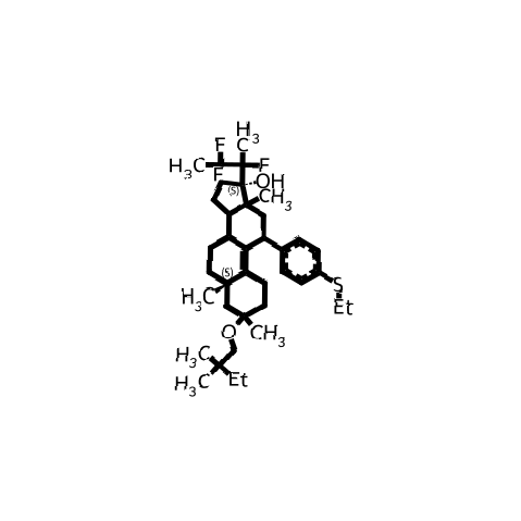 CCSc1ccc(C2CC3(C)C(CC[C@@]3(O)C(C)(F)C(C)(F)F)C3CC[C@@]4(C)CC(C)(OCC(C)(C)CC)CCC4=C23)cc1